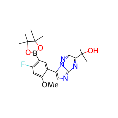 COc1cc(F)c(B2OC(C)(C)C(C)(C)O2)cc1-c1cnc2nc(C(C)(C)O)cnn12